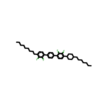 CCCCCCCCCc1ccc(-c2ccc(-c3ccc(C4CCC(CCCCCCC)CC4)c(F)c3F)cc2)c(F)c1F